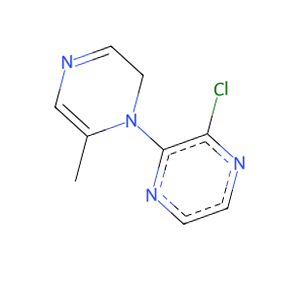 CC1=CN=CCN1c1nccnc1Cl